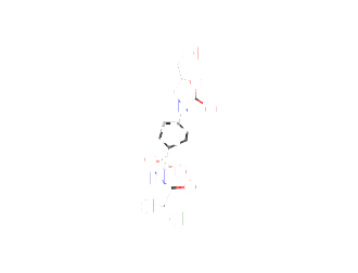 O=C(NS(=O)(=O)c1ccc(N2CC(CO)OC2=O)cc1)C(Cl)Cl